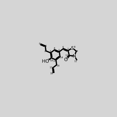 C=CCc1cc(C=C2SCN(C)C2=O)cc(CC=C)c1O